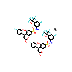 O=C([O-])C=C(c1ccc(F)cc1)c1ccc(S(=O)(=O)Nc2cc(F)cc(C(O)(C(F)(F)F)C(F)(F)F)c2)cc1O.O=C([O-])C=C(c1ccc(F)cc1)c1ccc(S(=O)(=O)Nc2cc(F)cc(C(O)(C(F)(F)F)C(F)(F)F)c2)cc1O.[Na+].[Na+]